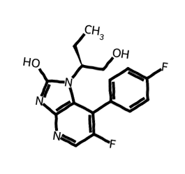 CC[C@@H](CO)n1c(O)nc2ncc(F)c(-c3ccc(F)cc3)c21